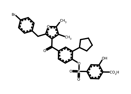 Cc1oc(Cc2ccc(Br)cc2)c(C(=O)c2ccc(OS(=O)(=O)c3ccc(C(=O)O)c(O)c3)c(C3CCCC3)c2)c1C